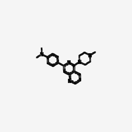 CN1CCN(c2nc(-c3ccc(N(C)C)cc3)cc3ncccc23)CC1